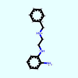 Nc1ccccc1NCCNCc1ccccc1